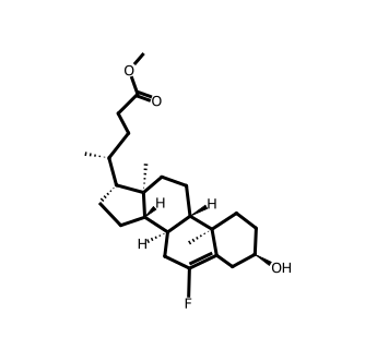 COC(=O)CC[C@@H](C)[C@H]1CC[C@H]2[C@@H]3CC(F)=C4C[C@H](O)CC[C@]4(C)[C@H]3CC[C@]12C